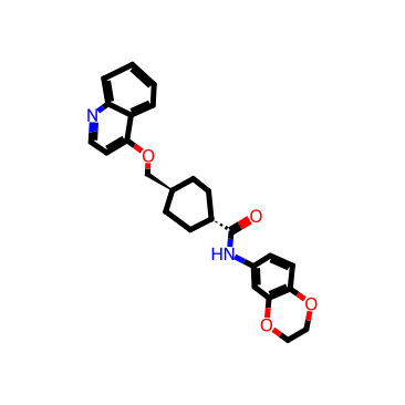 O=C(Nc1ccc2c(c1)OCCO2)[C@H]1CC[C@H](COc2ccnc3ccccc23)CC1